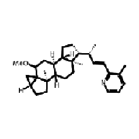 COC1C[C@H]2[C@@H]3CC[C@H]([C@H](C)/C=C/c4ncccc4C)[C@@]3(C)CC[C@@H]2[C@@]2(C)CC[C@@H]3CC132